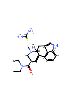 CCN(CC)C(=O)[C@@H]1C=C2c3cccc4[nH]cc(c34)C[C@H]2N(C)C1.NC(N)=S